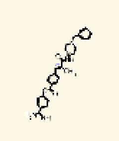 C/C(=C\c1ccc(C(=O)Oc2ccc(C(=N)N)cc2)cc1)C(=O)NN1CCN(Cc2ccccc2)CC1